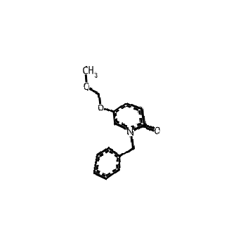 COCOc1ccc(=O)n(Cc2ccccc2)c1